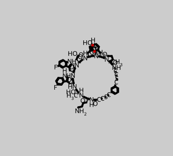 C[C@H]1NC(=O)[C@H](CCCCN)NC(=O)CCSCc2cccc(c2)CSCCNC(=O)[C@]2(C)CCCN2C(=O)[C@H](Cc2ccc(O)cc2)N(C)C(=O)[C@H](Cc2c[nH]cn2)NC(=O)[C@H](CC(=O)O)NC(=O)[C@H](Cc2c[nH]c3ccc(F)cc23)NC(=O)[C@H](Cc2c[nH]c3ccc(F)cc23)NC1O